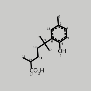 Cc1ccc(O)c(C(C)(C)CCC(C)C(=O)O)c1